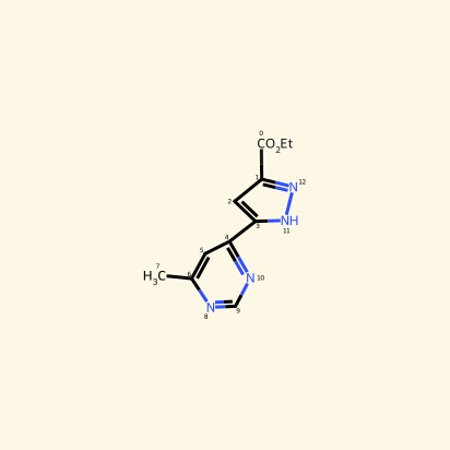 CCOC(=O)c1cc(-c2cc(C)ncn2)[nH]n1